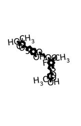 COc1cc2sc(C(=O)C[C@H](C)C(=O)O)cc2c(F)c1OCCCOc1cc2cc(C(=O)C[C@H](C)C(=O)O)sc2cc1O